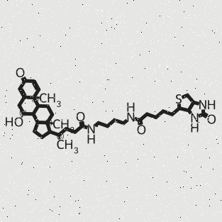 C[C@H](CCC(=O)NCCCCNC(=O)CCCCC1SCC2NC(=O)NC21)C1CCC2C3C(CC[C@@]21C)[C@@]1(C)C=CC(=O)C=C1C[C@H]3O